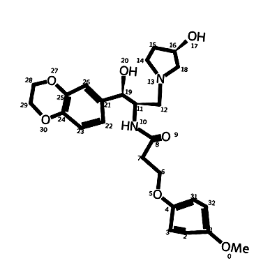 COc1ccc(OCCC(=O)N[C@H](CN2CC[C@@H](O)C2)[C@H](O)c2ccc3c(c2)OCCO3)cc1